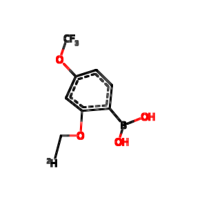 [2H]COc1cc(OC(F)(F)F)ccc1B(O)O